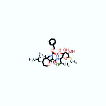 CSC1O[C@H]([C@H](NC(=O)[C@@H]2[C@@H]3OCC[C@@H](CC(C)C)C[C@H]3CN2C(=O)OCc2ccccc2)[C@H](C)Cl)C(O)[C@@H](O)[C@H]1O